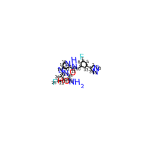 Cn1cc(-c2cc(F)cc(CNC(=O)c3nccc4nc(C5CCC(F)C5)n(CC(N)O)c34)c2)cn1